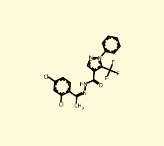 CC(=NNC(=O)c1cnn(-c2ccccc2)c1C(F)(F)F)c1ccc(Cl)cc1Cl